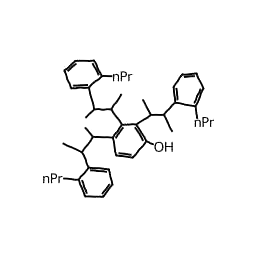 CCCc1ccccc1C(C)C(C)c1ccc(O)c(C(C)C(C)c2ccccc2CCC)c1C(C)C(C)c1ccccc1CCC